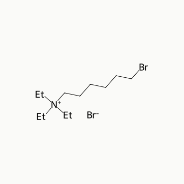 CC[N+](CC)(CC)CCCCCCBr.[Br-]